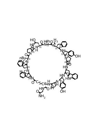 CCCC[C@H]1C(=O)N2CCC[C@@H]2C(=O)N[C@@H](CC(O)=P)C(=O)N[C@@H](C(C)C)C(=O)N(C)[C@@H](Cc2ccccc2)C(=O)N[C@@H](Cc2ccc(O)cc2)C(=O)N2CCC[C@@H]2C(=O)N[C@@H](Cc2c[nH]c3ccccc23)C(=O)N[C@@H](Cc2ccc(O)cc2)C(=O)N[C@@H](CC(C)C)C(=O)N[C@H](C(=O)NCC(N)=O)CSCC(=O)N[C@@H](Cc2ccccc2)C(=O)N(C)[C@@H](Cc2ccccc2)C(=O)N1C